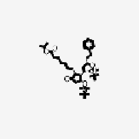 CC(C)OC(=O)CCCC=CC[C@H]1C(=O)C[C@@H](O[Si](C)(C)C(C)(C)C)[C@@H]1C=C[C@H](CCc1ccccc1)O[Si](C)(C)C(C)(C)C